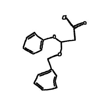 O=C(Cl)CC(OCc1ccccc1)Oc1ccccc1